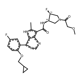 COCC(=O)N1C[C@H](F)[C@H](NC(=O)c2c(C)[nH]c3c(-c4cc(F)ccc4OCC4CC4)ncnc23)C1